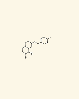 CC1CCC(CCC2CCC3CCC(F)C(F)C3C2)CC1